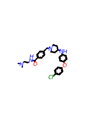 CN(C)CCNC(=O)c1ccc(CN2CCC(Nc3ccc(Oc4ccc(Cl)cc4)cc3)CC2)cc1